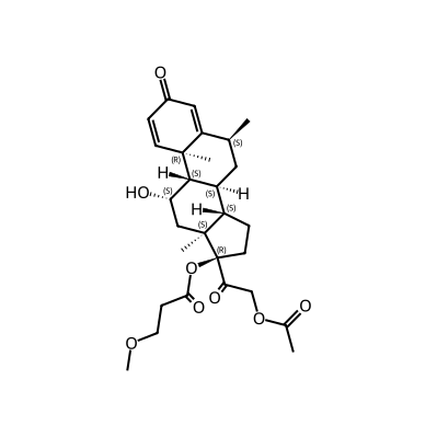 COCCC(=O)O[C@]1(C(=O)COC(C)=O)CC[C@H]2[C@@H]3C[C@H](C)C4=CC(=O)C=C[C@]4(C)[C@H]3[C@@H](O)C[C@@]21C